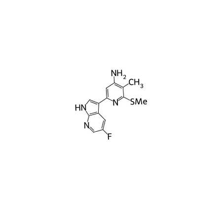 CSc1nc(-c2c[nH]c3ncc(F)cc23)cc(N)c1C